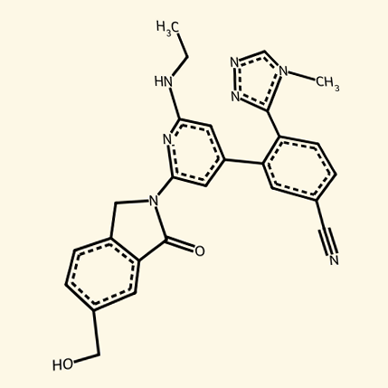 CCNc1cc(-c2cc(C#N)ccc2-c2nncn2C)cc(N2Cc3ccc(CO)cc3C2=O)n1